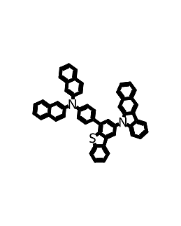 c1ccc2cc(N(c3ccc(-c4cc(-n5c6ccccc6c6cc7ccccc7cc65)cc5c4sc4ccccc45)cc3)c3ccc4ccccc4c3)ccc2c1